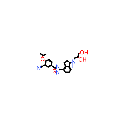 CC(C)Oc1ccc(-c2nc(-c3cccc4c3CCC4NC[C@H](O)CO)no2)cc1C#N